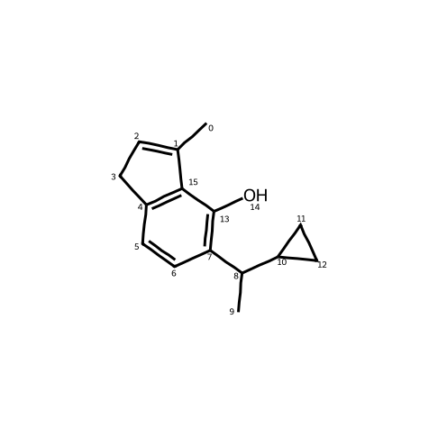 CC1=CCc2ccc(C(C)C3CC3)c(O)c21